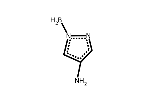 Bn1cc(N)cn1